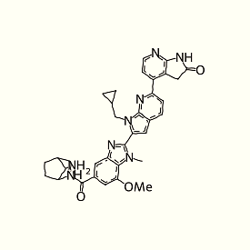 COc1cc(C(=O)N2CC3CCC2[C@@H]3N)cc2nc(-c3cc4ccc(-c5ccnc6c5CC(=O)N6)nc4n3CC3CC3)n(C)c12